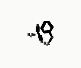 COc1ccccc1.N#CC#N.[SeH2]